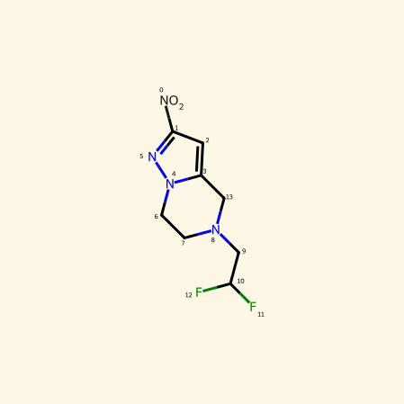 O=[N+]([O-])c1cc2n(n1)CCN(CC(F)F)C2